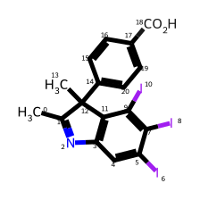 CC1=Nc2cc(I)c(I)c(I)c2C1(C)c1ccc(C(=O)O)cc1